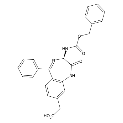 O=C(O)Cc1ccc2c(c1)NC(=O)[C@H](NC(=O)OCc1ccccc1)N=C2c1ccccc1